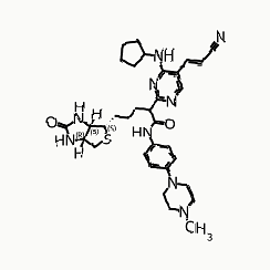 CN1CCN(c2ccc(NC(=O)C(CCC[C@@H]3SC[C@@H]4NC(=O)N[C@@H]43)c3ncc(C=CC#N)c(NC4CCCC4)n3)cc2)CC1